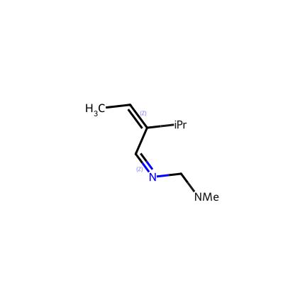 C/C=C(\C=N/CNC)C(C)C